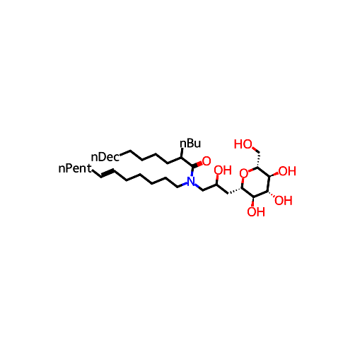 CCCCCC=CCCCCCN(CC(O)C[C@@H]1O[C@H](CO)[C@@H](O)[C@H](O)[C@H]1O)C(=O)C(CCCC)CCCCCCCCCCCCCC